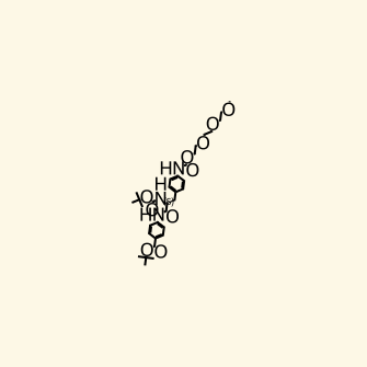 COCCOCCOCCOC(=O)Nc1ccc(C[C@H](NC(=O)OC(C)(C)C)C(=O)Nc2ccc(C(=O)OC(C)(C)C)cc2)cc1